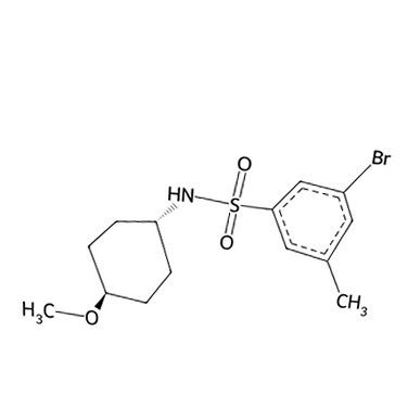 CO[C@H]1CC[C@H](NS(=O)(=O)c2cc(C)cc(Br)c2)CC1